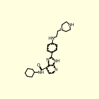 O=C(NC1CCCCC1)c1ccnc2[nH]c(-c3ccc(NCCN4CCNCC4)cc3)nc12